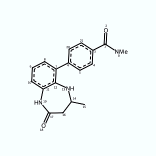 CNC(=O)c1ccc(-c2cccc3c2NC(C)CC(=O)N3)cc1